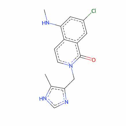 CNc1cc(Cl)cc2c(=O)n(Cc3nc[nH]c3C)ccc12